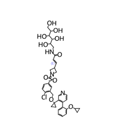 O=C(/C=C/C1CN(S(=O)(=O)c2ccc(Cl)c(COC3(c4cnccc4-c4ccccc4OC4CC4)CC3)c2)C1)NCC(O)C(O)C(O)C(O)CO